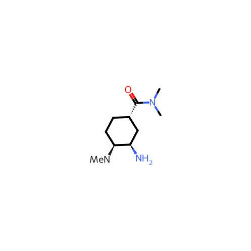 CN[C@H]1CC[C@H](C(=O)N(C)C)C[C@H]1N